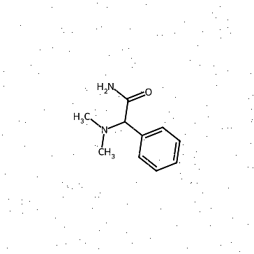 CN(C)C(C(N)=O)c1cc[c]cc1